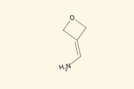 NC=C1COC1